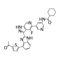 CC(=O)c1ccc(-c2cccc3[nH]c(-c4n[nH]c5cnc(-c6cncc(NC(=O)C7CCCCC7)c6)c(F)c45)nc23)s1